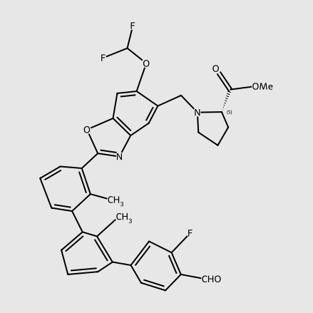 COC(=O)[C@@H]1CCCN1Cc1cc2nc(-c3cccc(-c4cccc(-c5ccc(C=O)c(F)c5)c4C)c3C)oc2cc1OC(F)F